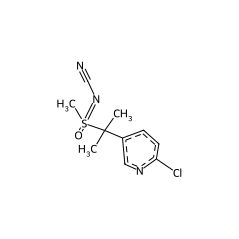 CC(C)(c1ccc(Cl)nc1)S(C)(=O)=NC#N